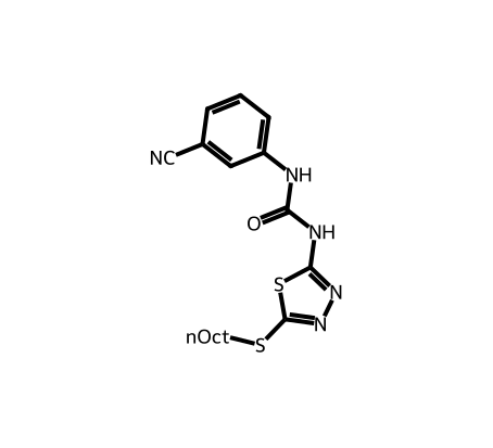 CCCCCCCCSc1nnc(NC(=O)Nc2cccc(C#N)c2)s1